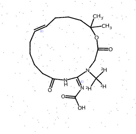 [2H]C([2H])([2H])N1CC(=O)OC(C)(C)CCC/C=C/CCCCC(=O)N/C1=N\C(=O)O